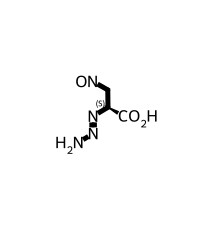 NN=N[C@@H](CN=O)C(=O)O